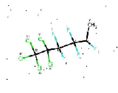 CC(F)C(F)(F)C(F)(F)C(Cl)(Cl)C(Cl)(Cl)Cl